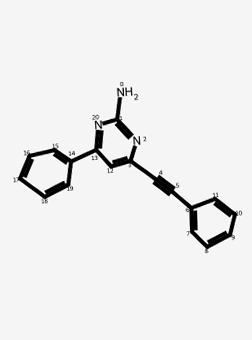 Nc1nc(C#Cc2ccccc2)cc(-c2ccccc2)n1